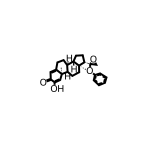 C[C@]12CC[C@H]3[C@@H](CCC4=CC(=O)C(O)=C[C@@]43C)[C@@H]1CC[C@@H]2C1(Oc2ccccc2)CO1